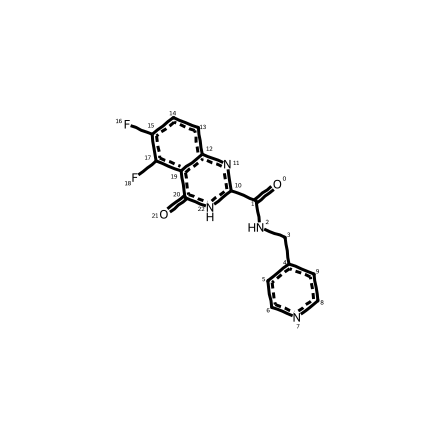 O=C(NCc1ccncc1)c1nc2ccc(F)c(F)c2c(=O)[nH]1